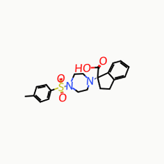 Cc1ccc(S(=O)(=O)N2CCN([C@@]3(C(=O)O)CCc4ccccc43)CC2)cc1